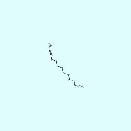 CCCCCCCCCCC#[C][Sb]